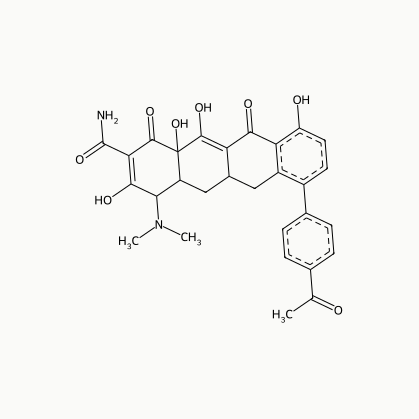 CC(=O)c1ccc(-c2ccc(O)c3c2CC2CC4C(N(C)C)C(O)=C(C(N)=O)C(=O)C4(O)C(O)=C2C3=O)cc1